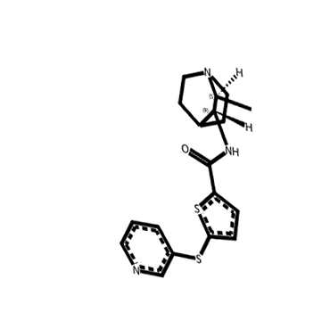 C[C@H]1[C@H](NC(=O)c2ccc(Sc3cccnc3)s2)C2CCN1CC2